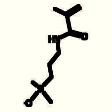 C=C(C)C(=O)NCCC[Si](C)(C)[O]